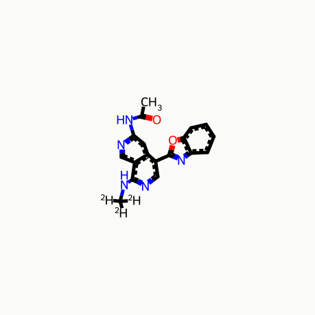 [2H]C([2H])([2H])Nc1ncc(-c2nc3ccccc3o2)c2cc(NC(C)=O)ncc12